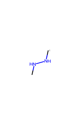 [CH]NNC